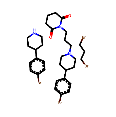 BrCCCBr.Brc1ccc(C2CCNCC2)cc1.O=C1CCCC(=O)N1CCCN1CCC(c2ccc(Br)cc2)CC1